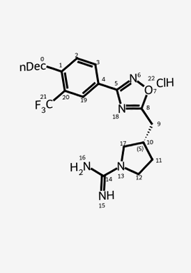 CCCCCCCCCCc1ccc(-c2noc(C[C@@H]3CCN(C(=N)N)C3)n2)cc1C(F)(F)F.Cl